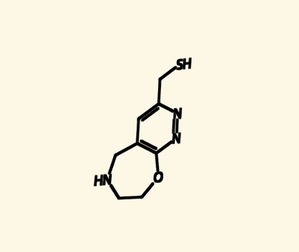 SCc1cc2c(nn1)OCCNC2